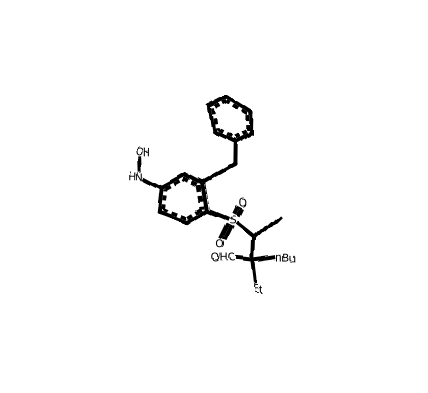 CCCCC(C=O)(CC)C(C)S(=O)(=O)c1ccc(NO)cc1Cc1ccccc1